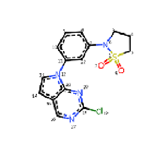 O=S1(=O)CCCN1c1cccc(-n2ccc3cnc(Cl)nc32)c1